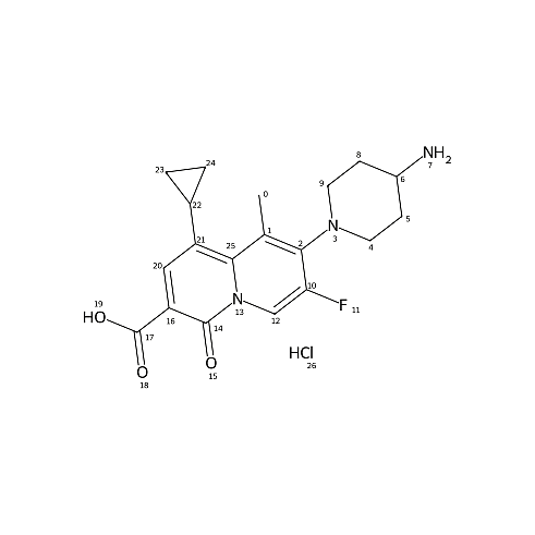 Cc1c(N2CCC(N)CC2)c(F)cn2c(=O)c(C(=O)O)cc(C3CC3)c12.Cl